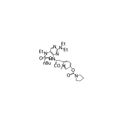 CCCCS(=O)(=O)N(CC)c1cnc(N(CC)CC)nc1N[C@@H](Cc1ccc(OC(=O)N2CCCC2)cc1)C(=O)O